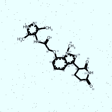 Cc1n[nH]c(C)c1NC(=O)COc1cccc2c(C3CCC(=O)NC3=O)nn(C)c12